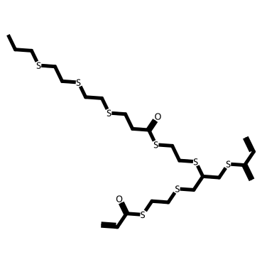 C=CC(=C)SCC(CSCCSC(=O)C=C)SCCSC(=O)CCSCCSCCSCCC